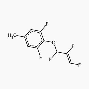 Cc1cc(F)c(OC(F)C(F)=CF)c(F)c1